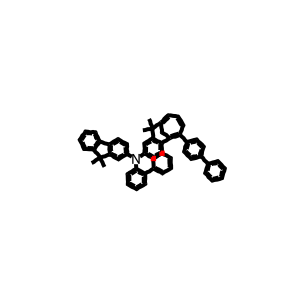 CC1(C)C2=CC=CC(c3ccc(-c4ccccc4)cc3)=C(C2)c2ccc(N(c3ccc4c(c3)C(C)(C)c3ccccc3-4)c3ccccc3C3=CC=CCC3)cc21